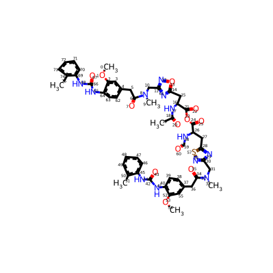 COc1cc(CC(=O)N(C)Cc2noc(CC(NC(C)=O)C(=O)OC(=O)C(Cc3nc(CN(C)C(=O)Cc4ccc(NC(=O)Nc5ccccc5C)c(OC)c4)ns3)NC=O)n2)ccc1NC(=O)Nc1ccccc1C